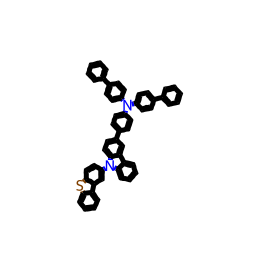 C1=CC2Sc3ccccc3C2C=C1n1c2ccccc2c2cc(-c3ccc(N(c4ccc(-c5ccccc5)cc4)c4ccc(-c5ccccc5)cc4)cc3)ccc21